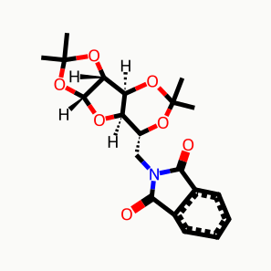 CC1(C)O[C@H]2O[C@H]3[C@H](OC(C)(C)O[C@@H]3CN3C(=O)c4ccccc4C3=O)[C@H]2O1